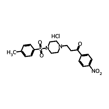 Cc1ccc(S(=O)(=O)N2CCN(CCC(=O)c3ccc([N+](=O)[O-])cc3)CC2)cc1.Cl